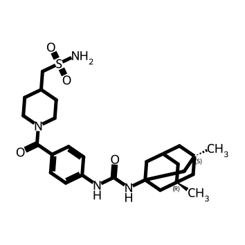 C[C@]12CC3CC(NC(=O)Nc4ccc(C(=O)N5CCC(CS(N)(=O)=O)CC5)cc4)(C1)C[C@@](C)(C3)C2